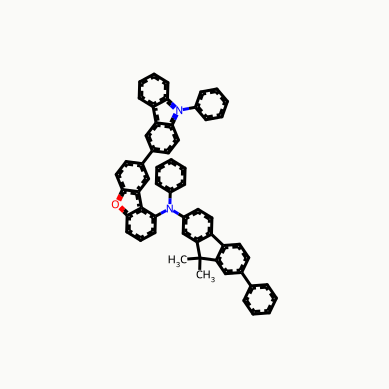 CC1(C)c2cc(-c3ccccc3)ccc2-c2ccc(N(c3ccccc3)c3cccc4oc5ccc(-c6ccc7c(c6)c6ccccc6n7-c6ccccc6)cc5c34)cc21